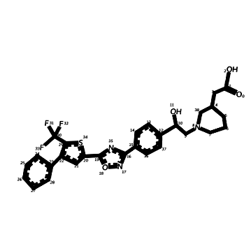 O=C(O)CC1CCCN(CC(O)c2ccc(-c3noc(-c4cc(-c5ccccc5)c(C(F)(F)F)s4)n3)cc2)C1